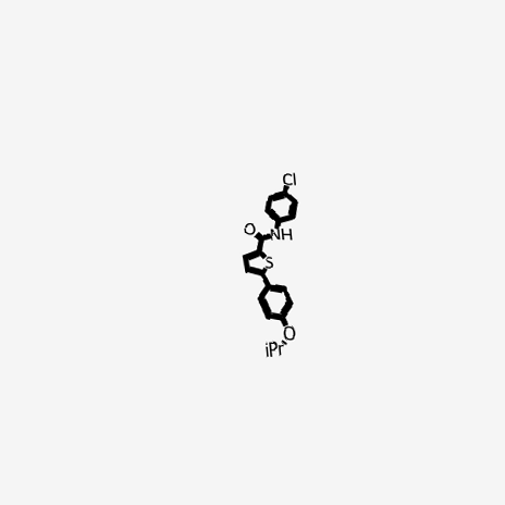 CC(C)Oc1ccc(-c2ccc(C(=O)Nc3ccc(Cl)cc3)s2)cc1